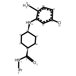 CC(C)NC(=O)[C@H]1CC[C@@H](Nc2cc(Cl)ccc2N)CC1